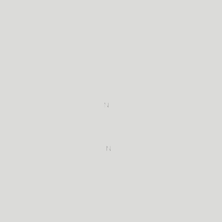 C#CCN(CCCC)CCN(CC#C)CCCC